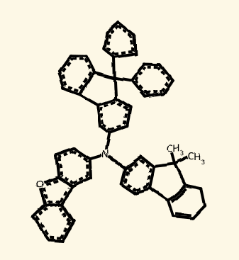 CC1(C)C2=C(C=CCC2)c2ccc(N(c3ccc4c(c3)-c3ccccc3C4(c3ccccc3)c3ccccc3)c3ccc4oc5ccccc5c4c3)cc21